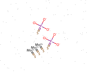 [O-]P([O-])([O-])=S.[O-]P([O-])([O-])=S.[S]=[Mo+2].[S]=[Mo+2].[S]=[Mo+2]